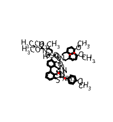 COc1ccc(CN(Cc2ccc(OC)cc2)S(=O)(=O)c2c(S(=O)(=O)CC(C)NC(=O)OC(C)(C)C)ccc(-c3cccc4sc(N)nc34)c2-c2nnn(Cc3ccc(OC)cc3)n2)cc1